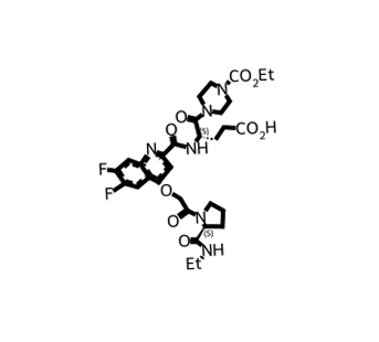 CCNC(=O)[C@@H]1CCCN1C(=O)COc1cc(C(=O)N[C@@H](CCC(=O)O)C(=O)N2CCN(C(=O)OCC)CC2)nc2cc(F)c(F)cc12